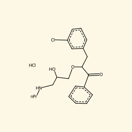 CCCNCC(O)COC(Cc1cccc(Cl)c1)C(=O)c1ccccc1.Cl